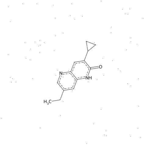 CCc1cnc2cc(C3CC3)c(=O)[nH]c2c1